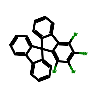 Brc1c(Br)c(Br)c2c(c1Br)-c1ccccc1C21c2ccccc2-c2ccccc21